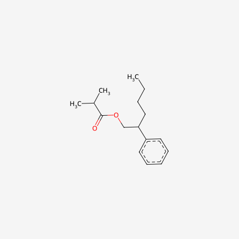 CCCCC(COC(=O)C(C)C)c1ccccc1